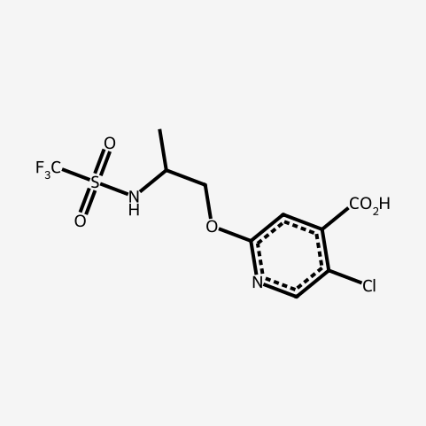 CC(COc1cc(C(=O)O)c(Cl)cn1)NS(=O)(=O)C(F)(F)F